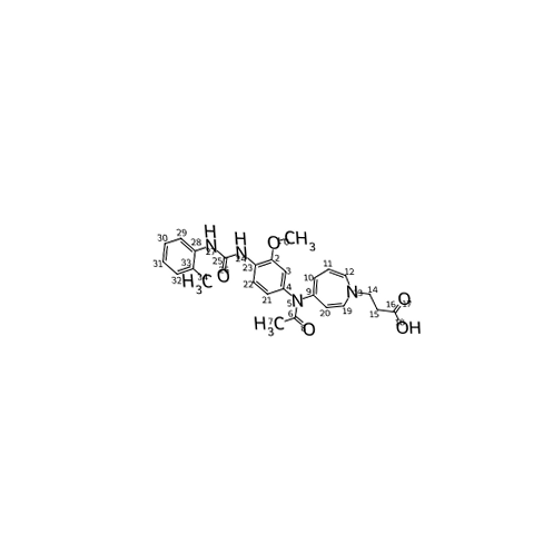 COc1cc(N(C(C)=O)C2=CC=CN(CCC(=O)O)C=C2)ccc1NC(=O)Nc1ccccc1C